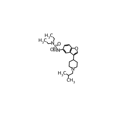 CCN(CC)S(=O)(=O)Nc1ccc2occ(C3CCN(CC(C)C)CC3)c2c1